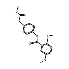 COC(=O)Cc1ccc(OC(=O)c2cc(OC)ccc2OC)cc1